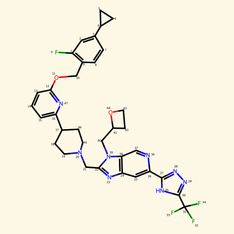 Fc1cc(C2CC2)ccc1COc1cccc(C2CCN(Cc3nc4cc(-c5nnc(C(F)(F)F)[nH]5)ncc4n3CC3CCO3)CC2)n1